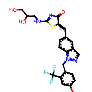 COc1ccc(Cn2ncc3cc(/C=C4\SC(NCC(O)CO)=NC4=O)ccc32)c(C(F)(F)F)c1